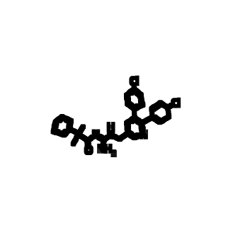 CC(C)(C(=O)/N=C(\N)NCc1cnc(C2=CCC(Cl)C=C2)c(-c2ccc(Cl)cc2)c1)c1ccccc1